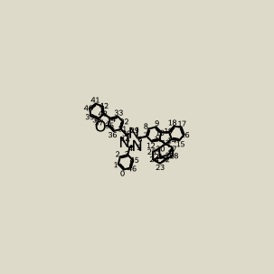 c1ccc(-c2nc(-c3ccc4c(c3)C3(c5ccccc5-4)C4CC5CC(C4)CC3C5)nc(-c3ccc4c(c3)oc3ccccc34)n2)cc1